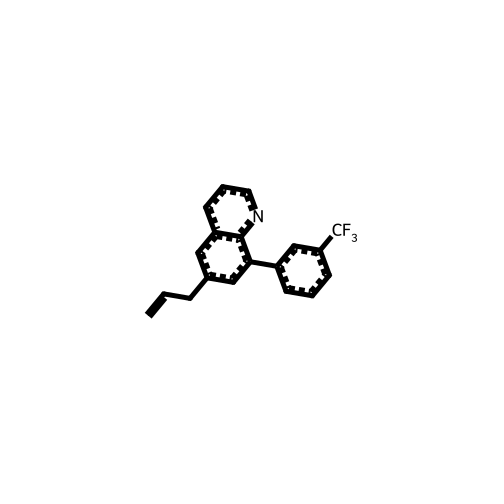 C=CCc1cc(-c2cccc(C(F)(F)F)c2)c2ncccc2c1